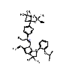 C=Cc1nc2c(n1/C=C(\CF)c1cnc(C3(O[Si](C)(C)C(C)(C)C)CC(C)(O)C3)nc1)[C@@H](c1ccccc1OC(F)F)CC2(C)O